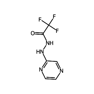 O=C(NNc1cnccn1)C(F)(F)F